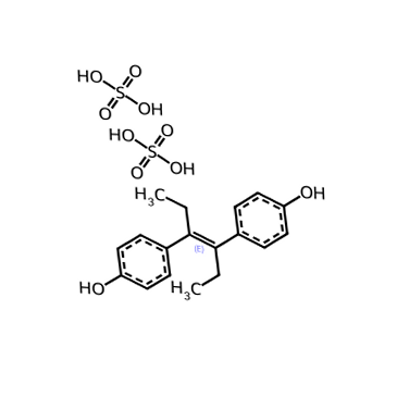 CC/C(=C(/CC)c1ccc(O)cc1)c1ccc(O)cc1.O=S(=O)(O)O.O=S(=O)(O)O